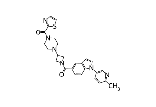 Cc1ccc(-n2ccc3cc(C(=O)N4CC(N5CCN(C(=O)c6nccs6)CC5)C4)ccc32)cn1